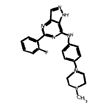 CN1CCN(c2ccc(Nc3nc(-c4ccccc4F)nc4cn[nH]c34)cc2)CC1